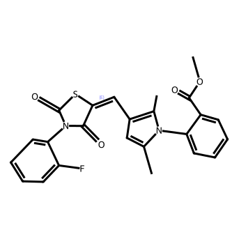 COC(=O)c1ccccc1-n1c(C)cc(/C=C2/SC(=O)N(c3ccccc3F)C2=O)c1C